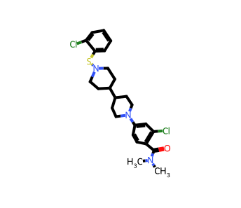 CN(C)C(=O)c1ccc(N2CCC(C3CCN(Sc4ccccc4Cl)CC3)CC2)cc1Cl